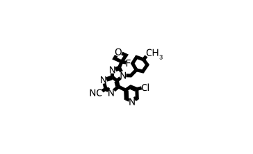 CC1CCC(Cn2c(C3(F)COC3)nc3nc(C#N)nc(-c4cncc(Cl)c4)c32)CC1